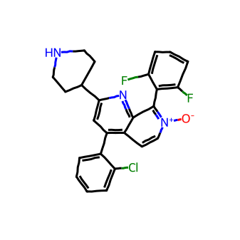 [O-][n+]1ccc2c(-c3ccccc3Cl)cc(C3CCNCC3)nc2c1-c1c(F)cccc1F